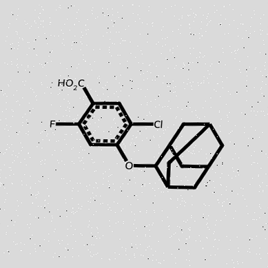 O=C(O)c1cc(Cl)c(OC2C3CC4CC(C3)CC2C4)cc1F